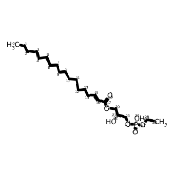 CCCCCCCCCCCCCCCC=CC(=O)OC[C@@H](O)COP(=O)(O)OCC